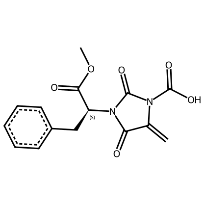 C=C1C(=O)N([C@@H](Cc2ccccc2)C(=O)OC)C(=O)N1C(=O)O